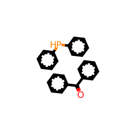 O=C(c1ccccc1)c1ccccc1.c1ccc(Pc2ccccc2)cc1